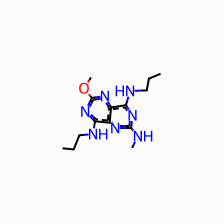 CCCNc1nc(OC)nc2c(NCCC)nc(NC)nc12